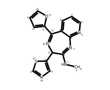 CNC1=Nc2ncccc2C(c2ccco2)=NC1c1cncs1